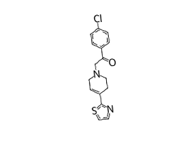 O=C(CN1CC=C(c2nccs2)CC1)c1ccc(Cl)cc1